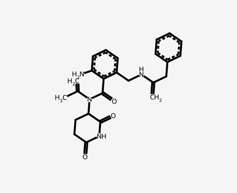 C=C(Cc1ccccc1)NCc1cccc(N)c1C(=O)N(C(=C)C)C1CCC(=O)NC1=O